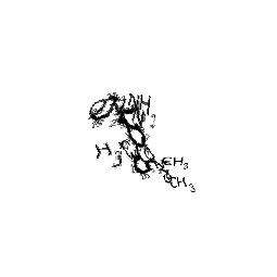 COCCN(C)C(=O)c1cccc(C)c1-c1ccc2nc(N)c(N3CCOCC3)cc2c1